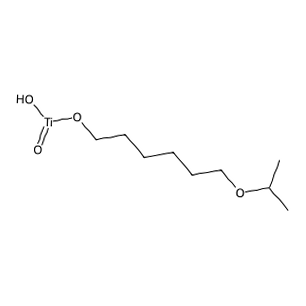 CC(C)OCCCCCC[O][Ti](=[O])[OH]